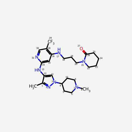 Cc1nn(C2CCN(C)CC2)cc1Nc1cc(NCCCN2CCCCC2=O)c(C(F)(F)F)cn1